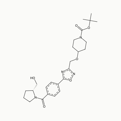 CC(C)(C)OC(=O)N1CCC(OCc2noc(-c3ccc(C(=O)N4CCC[C@@H]4CO)cc3)n2)CC1